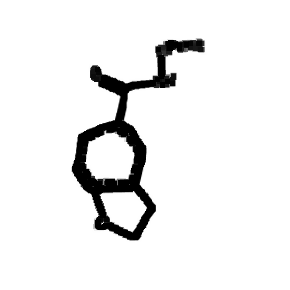 CCCCCNC(=O)c1ccc2c(c1)CCO2